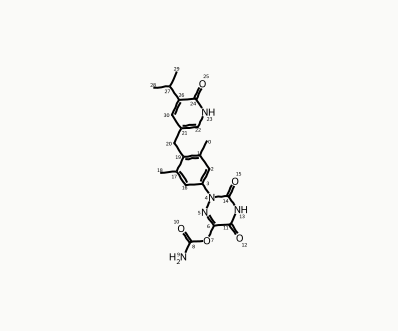 Cc1cc(-n2nc(OC(N)=O)c(=O)[nH]c2=O)cc(C)c1Cc1c[nH]c(=O)c(C(C)C)c1